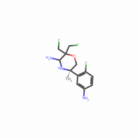 C[C@@]1(c2cc(N)ccc2F)COC(CF)(CF)C(N)N1